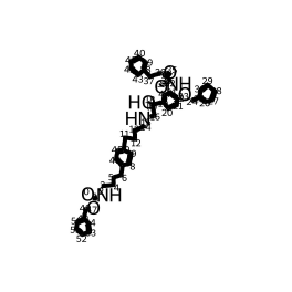 O=C(NCCCCc1ccc(CCCCNC[C@@H](O)c2ccc(OCc3ccccc3)c(NS(=O)(=O)CCc3ccccc3)c2)cc1)OCc1ccccc1